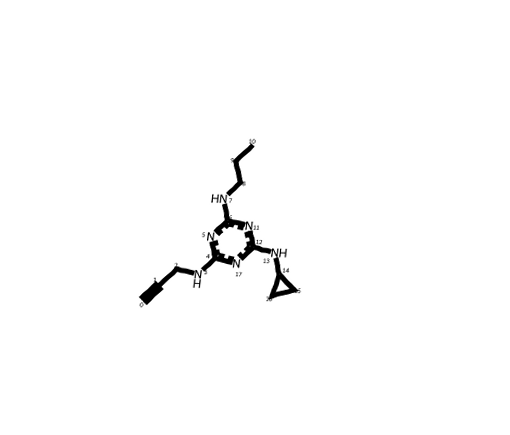 C#CCNc1nc(NCCC)nc(NC2CC2)n1